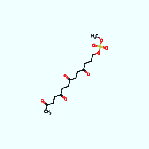 COS(=O)(=O)OCCCC(=O)CCC(=O)CCC(=O)CCC(C)=O